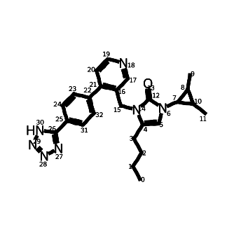 CCCCc1cn(C2C(C)C2C)c(=O)n1Cc1cnccc1-c1ccc(-c2nnn[nH]2)cc1